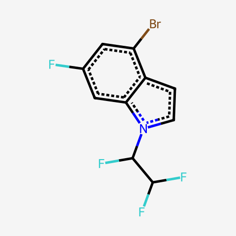 Fc1cc(Br)c2ccn(C(F)C(F)F)c2c1